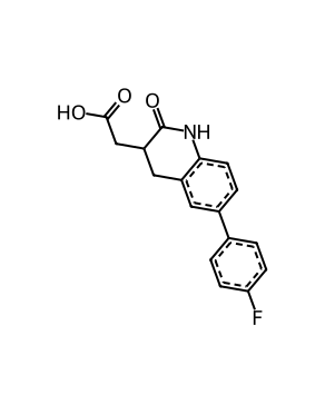 O=C(O)CC1Cc2cc(-c3ccc(F)cc3)ccc2NC1=O